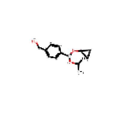 CC(C)OB(OC1CC1)c1ccc(CO)cc1